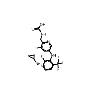 NC1CC1.O=C(O)NCc1ncc(Nc2c(F)cccc2C(F)(F)F)cc1F